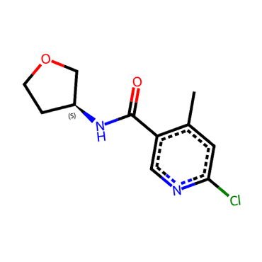 Cc1cc(Cl)ncc1C(=O)N[C@H]1CCOC1